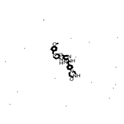 COc1ccc(CN2CCC(Nc3c(Cl)cnc4[nH]c(-c5ccc(N6CCNC(=O)CC6)cc5)nc34)CC2)cc1